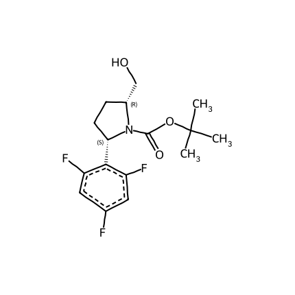 CC(C)(C)OC(=O)N1[C@@H](CO)CC[C@H]1c1c(F)cc(F)cc1F